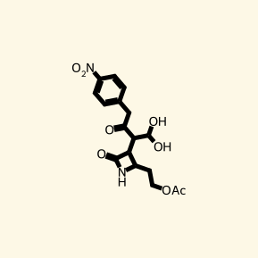 CC(=O)OCCC1NC(=O)C1C(C(=O)Cc1ccc([N+](=O)[O-])cc1)C(O)O